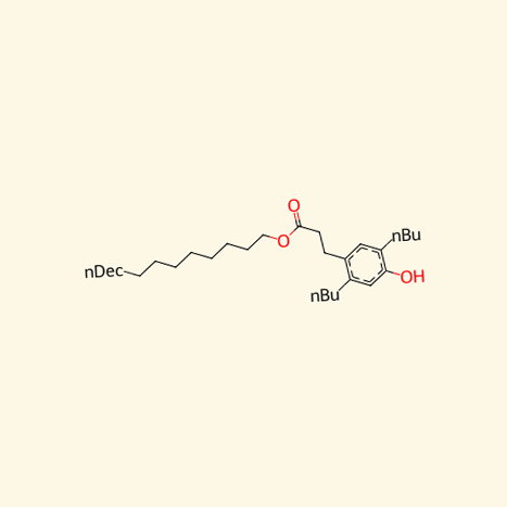 CCCCCCCCCCCCCCCCCCOC(=O)CCc1cc(CCCC)c(O)cc1CCCC